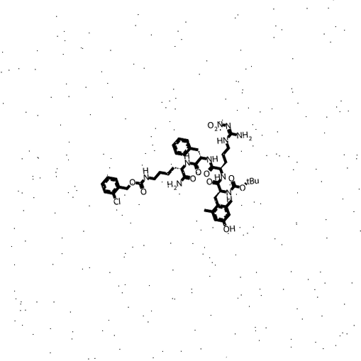 Cc1cc(O)cc(C)c1C[C@H](NC(=O)OC(C)(C)C)C(=O)N[C@H](CCCN/C(N)=N\[N+](=O)[O-])C(=O)N[C@@H](Cc1ccccc1)C(=O)N[C@@H](CCCCNC(=O)OCc1ccccc1Cl)C(N)=O